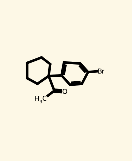 CC(=O)C1(c2ccc(Br)cc2)CCCCC1